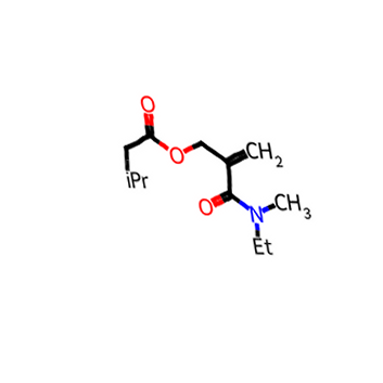 C=C(COC(=O)CC(C)C)C(=O)N(C)CC